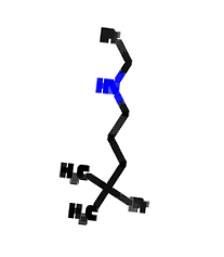 CC(C)CNCCCC(C)(C)C(C)C